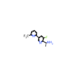 C[C@H](N)c1ncc(-c2cccc(C(F)(F)F)n2)cc1F